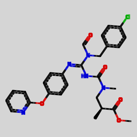 COC(=O)[C@@H](C)CN(C)C(=O)N/C(=N\c1ccc(Oc2ccccn2)cc1)N(C=O)Cc1ccc(Cl)cc1